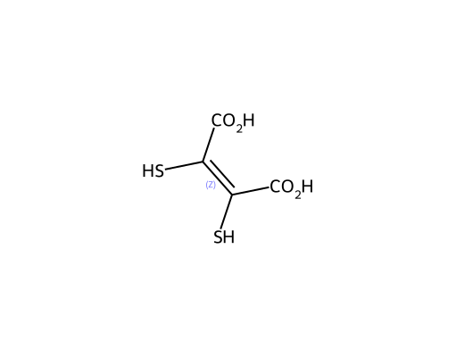 O=C(O)/C(S)=C(/S)C(=O)O